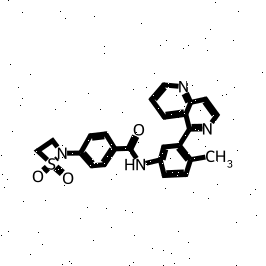 Cc1ccc(NC(=O)c2ccc(N3CCS3(=O)=O)cc2)cc1-c1nccc2ncccc12